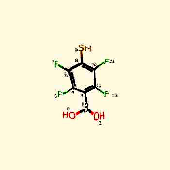 OB(O)c1c(F)c(F)c(S)c(F)c1F